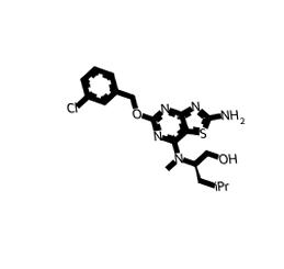 CC(C)C[C@H](CO)N(C)c1nc(OCc2cccc(Cl)c2)nc2nc(N)sc12